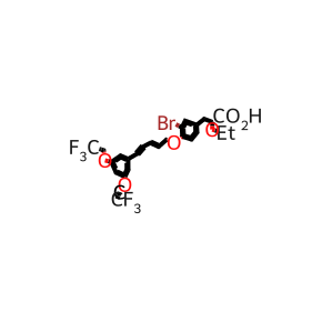 CCOC(Cc1ccc(OCC=CC#Cc2cc(OCC(F)(F)F)cc(OCC(F)(F)F)c2)c(Br)c1)C(=O)O